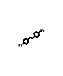 CC(C)c1ccc(CCc2ccc(C(C)C)cc2)cc1